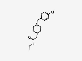 CCOC(=O)CN1CCN(Cc2ccc(Cl)cc2)CC1